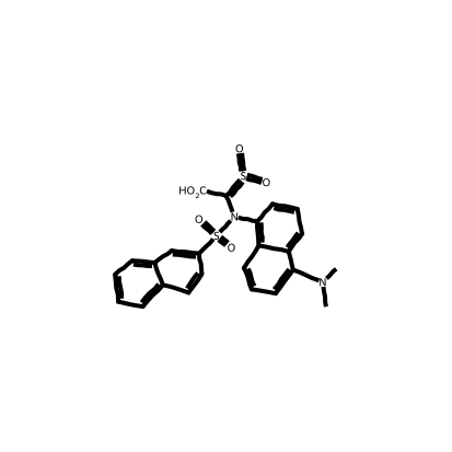 CN(C)c1cccc2c(N(C(C(=O)O)=S(=O)=O)S(=O)(=O)c3ccc4ccccc4c3)cccc12